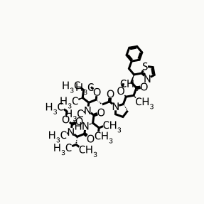 CCOC(=O)N(C)[C@H](C(=O)N[C@H](C(=O)N(C)C([C@@H](C)CC)[C@@H](CC(=O)N1CCC[C@H]1[C@H](OC)[C@@H](C)C(=O)C[C@@H](Cc1ccccc1)c1nccs1)OC)C(C)C)C(C)C